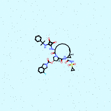 CC(C)(Nc1c(N[C@H]2CCCCC/C=C\[C@@H]3C[C@@]3(C(=O)NS(=O)(=O)C3CC3)NC(=O)[C@@H]3C[C@@H](OC(=O)N4Cc5cccc(F)c5C4)CN3C2=O)c(=O)c1=O)c1ccccc1